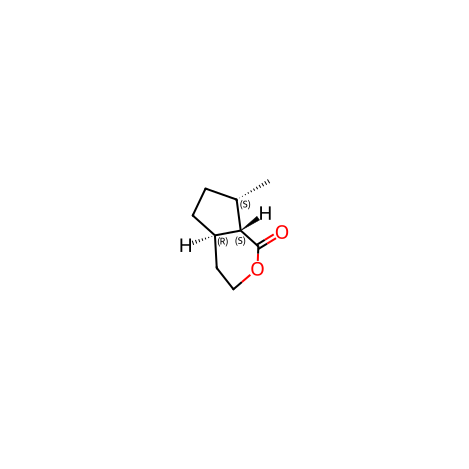 C[C@H]1CC[C@@H]2CCOC(=O)[C@H]21